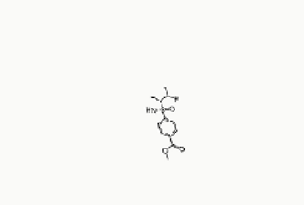 COC(=O)c1ccc(S(=N)(=O)[C@@H](C)C(C)F)cc1